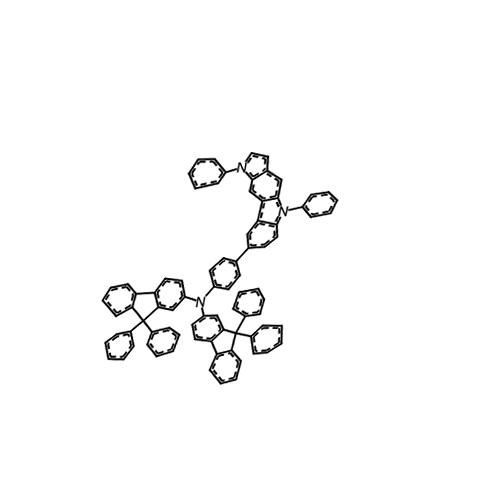 c1ccc(-n2ccc3cc4c(cc32)c2cc(-c3ccc(N(c5ccc6c(c5)C(c5ccccc5)(c5ccccc5)c5ccccc5-6)c5ccc6c(c5)C(c5ccccc5)(c5ccccc5)c5ccccc5-6)cc3)ccc2n4-c2ccccc2)cc1